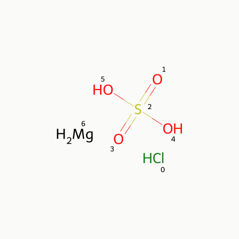 Cl.O=S(=O)(O)O.[MgH2]